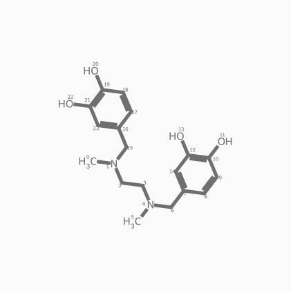 CN(CCN(C)Cc1ccc(O)c(O)c1)Cc1ccc(O)c(O)c1